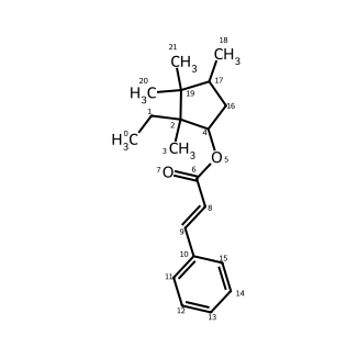 CCC1(C)C(OC(=O)/C=C/c2ccccc2)CC(C)C1(C)C